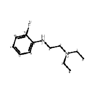 CCN(CC)CCNc1cc[c]cc1F